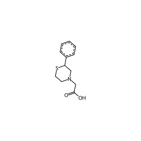 O=C(O)CN1CCSC(c2ccccc2)C1